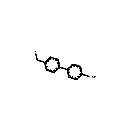 O=S(=O)(O)c1ccc(-c2ccc(CCl)cc2)cc1